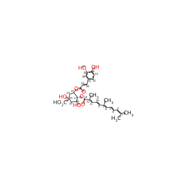 CC(C)=C/C=C/C=C(C)/C=C/C=C(\C)C(=O)O[C@@H]1[C@H](O)C[C@@](O)(C(=O)O)C[C@H]1OC(=O)/C=C/c1ccc(O)c(O)c1